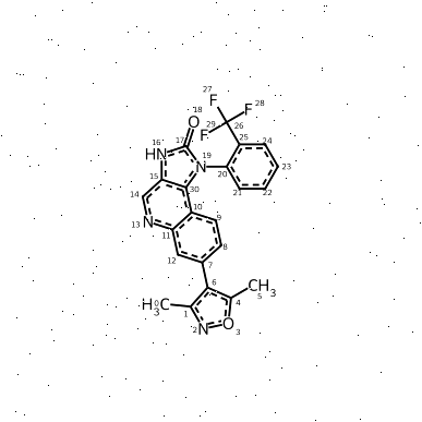 Cc1noc(C)c1-c1ccc2c(c1)ncc1[nH]c(=O)n(-c3ccccc3C(F)(F)F)c12